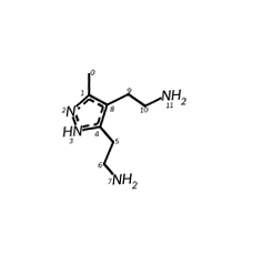 Cc1n[nH]c(CCN)c1CCN